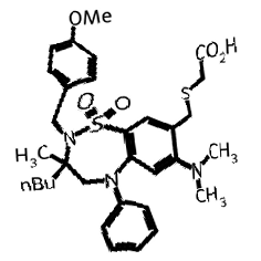 CCCCC1(C)CN(c2ccccc2)c2cc(N(C)C)c(CSCC(=O)O)cc2S(=O)(=O)N1Cc1ccc(OC)cc1